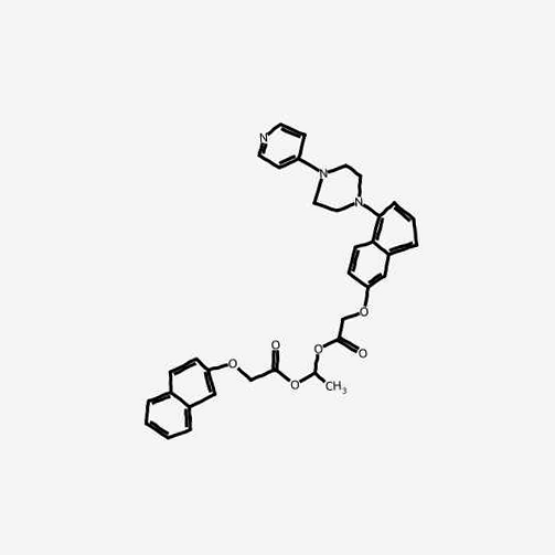 CC(OC(=O)COc1ccc2ccccc2c1)OC(=O)COc1ccc2c(N3CCN(c4ccncc4)CC3)cccc2c1